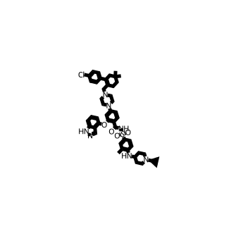 Cc1cc(S(=O)(=O)NC(=O)c2ccc(N3CCN(CC4=C(c5ccc(Cl)cc5)CC(C)(C)CC4)CC3)cc2Oc2cccc3[nH]ncc23)ccc1NC1CCN(C2CC2)CC1